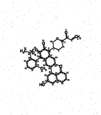 C=CC(=O)N1CCC(n2c(=O)c(=O)n(-c3c(C)cccc3C(C)C)c3cc(-c4cc(O)cc5ccccc45)c(Cl)cc32)CC1